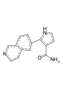 NC(=O)c1cc[nH]c1-c1ccc2cnccc2c1